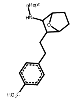 CCCCCCCNC1C2CCC(O2)C1CCc1ccc(C(=O)O)cc1